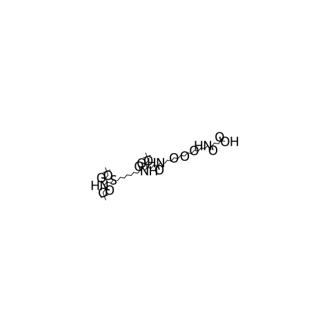 CC(C)(C)OC(=O)NC(CSCCCCCCCC(=O)NC(CCC(=O)NCCCOCCOCCOCCCNC(=O)CCC(=O)O)C(=O)OC(C)(C)C)C(=O)OC(C)(C)C